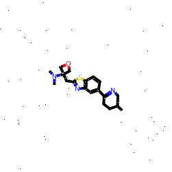 CC1CCC(c2ccc3sc(CC4(N(C)C)COC4)nc3c2)=NC1